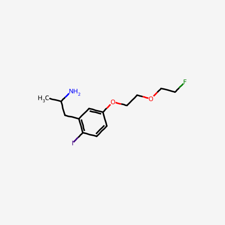 CC(N)Cc1cc(OCCOCCF)ccc1I